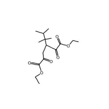 CCOC(=O)C(=O)CC(C(=O)C(=O)OCC)C(C)(C)C(C)C